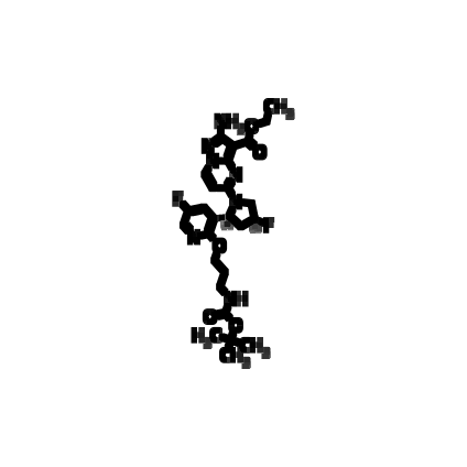 CCOC(=O)c1c(N)nn2ccc(N3C[C@@H](F)C[C@@H]3c3cc(F)cnc3OCCCNC(=O)OC(C)(C)C)nc12